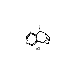 Cl.FC1c2ncncc2C2CCC1N2